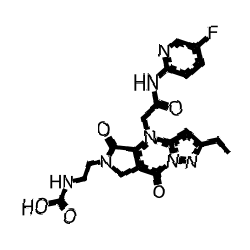 CCc1cc2n(CC(=O)Nc3ccc(F)cn3)c3c(c(=O)n2n1)CN(CCNC(=O)O)C3=O